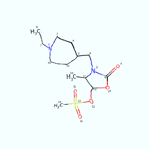 CCN1CCC(CN2C(=O)OC(OS(C)(=O)=O)C2C)CC1